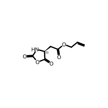 C=CCOC(=O)C[C@@H]1NC(=O)OC1=O